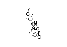 C=CCOc1c(C)cc(-c2nnc(N(CCCC)C(=O)c3cccc(Cl)c3F)s2)cc1C